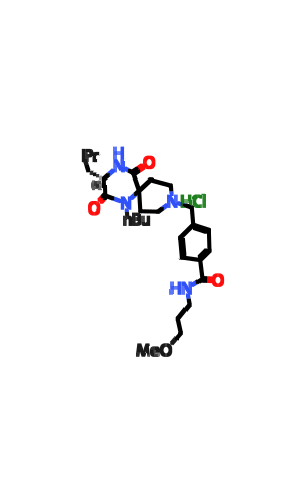 CCCCN1C(=O)[C@H](CC(C)C)NC(=O)C12CCN(Cc1ccc(C(=O)NCCCOC)cc1)CC2.Cl